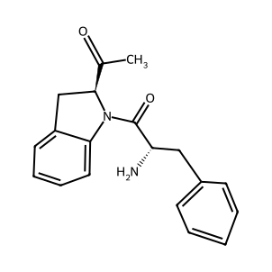 CC(=O)[C@@H]1Cc2ccccc2N1C(=O)[C@@H](N)Cc1ccccc1